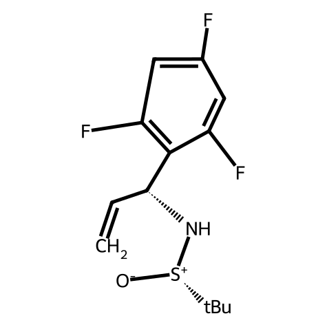 C=C[C@@H](N[S@@+]([O-])C(C)(C)C)c1c(F)cc(F)cc1F